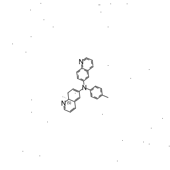 Cc1ccc(N(C2=CC[C@]3(C)N=CC=CC3=C2)c2ccc3ncccc3c2)cc1